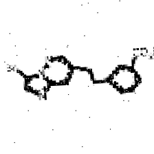 O=C(O)c1cccc(CCc2cnn3c(Br)cnc3c2)c1